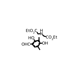 CCOC(=O)CNCC(=O)OCC.Cc1cc(C=O)c(O)c(C)c1O